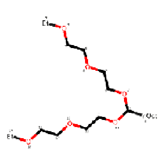 CCCCCCCCC(OCCOCCOCC)OCCOCCOCC